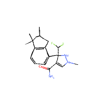 CC1Cc2c(cccc2C2(C(F)F)NN(C)C=C2C(N)=O)C1(C)C